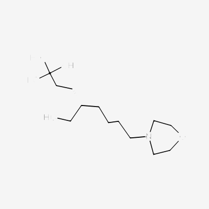 CC(C)(C)CC[C@@H](CO)CCCCN1CCOCC1